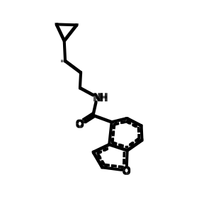 O=C(NCC[CH]C1CC1)c1cccc2occc12